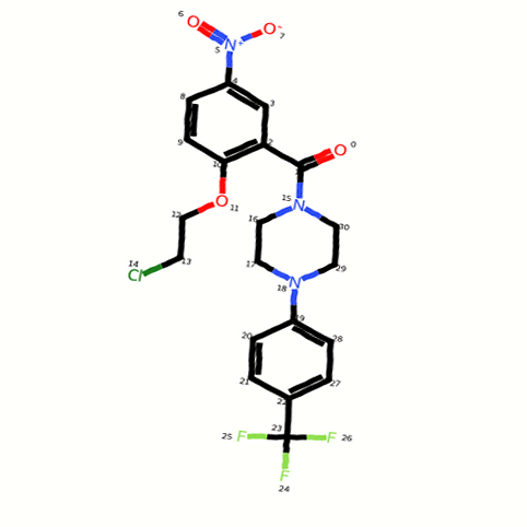 O=C(c1cc([N+](=O)[O-])ccc1OCCCl)N1CCN(c2ccc(C(F)(F)F)cc2)CC1